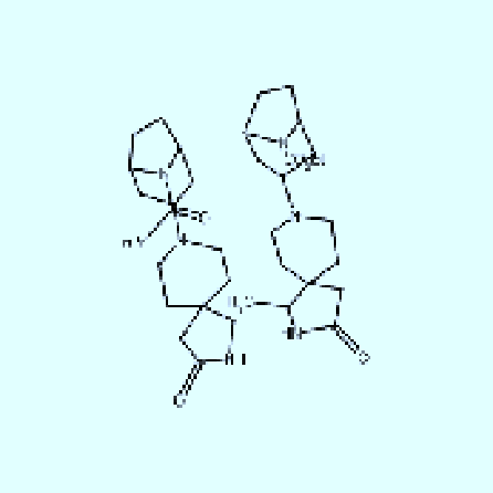 CCCC(=O)N1C2CCC1CC(N1CCC3(CC1)CNC(=O)C3)C2.CCOC(=O)N1C2CCC1CC(N1CCC3(CC1)CC(=O)NC3C)C2